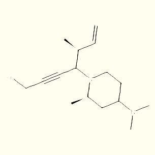 C=C[C@H](C)C(C#CCC(C)C)N1CCC(N(C)C)C[C@H]1C